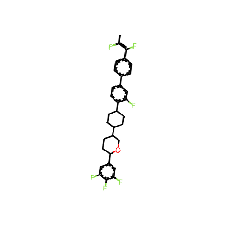 C/C(F)=C(\F)c1ccc(-c2ccc(C3CCC(C4CCC(c5cc(F)c(F)c(F)c5)OC4)CC3)c(F)c2)cc1